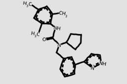 Cc1cc(C)c(NC(=O)N(Cc2cccc(-c3cc[nH]n3)c2)C2CCCC2)c(C)c1